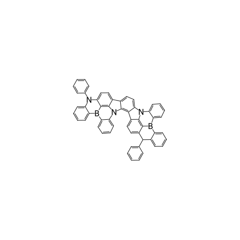 c1ccc(C2c3ccccc3B3c4ccccc4-n4c5ccc6c7ccc8c9c7n(c6c5c5ccc2c3c54)-c2ccccc2B9c2ccccc2N8c2ccccc2)cc1